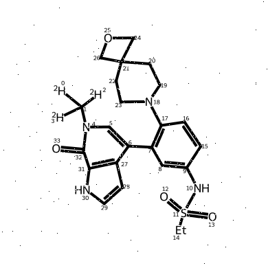 [2H]C([2H])([2H])n1cc(-c2cc(NS(=O)(=O)CC)ccc2N2CCC3(CC2)COC3)c2cc[nH]c2c1=O